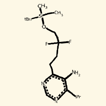 CC(C)c1ncnc(CCC(F)(F)CO[Si](C)(C)C(C)(C)C)c1N